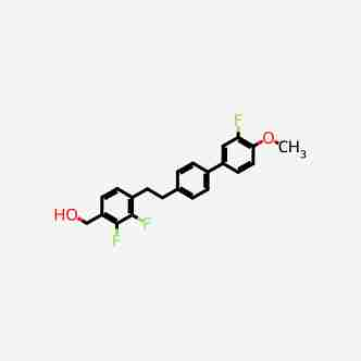 COc1ccc(-c2ccc(CCc3ccc(CO)c(F)c3F)cc2)cc1F